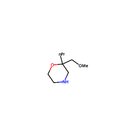 CCCC1(COC)CNCCO1